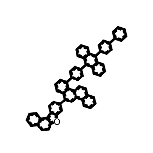 c1ccc(-c2ccc(-c3c4ccccc4c(-c4ccc(-c5cccc6c(-c7ccc8c(c7)oc7ccc9ccccc9c78)cc7c8ccccc8ccc7c56)cc4)c4ccccc34)cc2)cc1